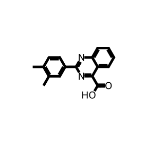 Cc1ccc(-c2nc(C(=O)O)c3ccccc3n2)cc1C